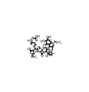 CCn1cc(C[N+]2(CC3=C(C(=O)[O-])N4C(=O)[C@@H](NC(=O)/C(=N\O[C@@H](CC(=O)O)C(=O)O)c5nc(N)sc5Cl)[C@H]4SC3)CCCC2)c(=O)c2c(Cl)c(O)c(O)cc21